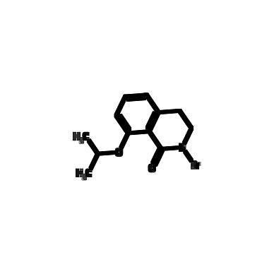 CC(C)Oc1cccc2c1C(=O)N(Br)CC2